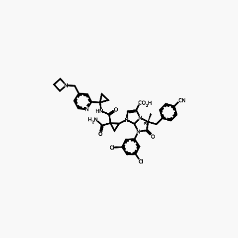 C[C@@]1(Cc2ccc(C#N)cc2)C(=O)N(c2cc(Cl)cc(Cl)c2)C2N(C3CC3(C(N)=O)C(=O)NC3(c4cc(CN5CCC5)ccn4)CC3)C=C(C(=O)O)N21